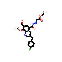 CCOC(=O)CNNC(=O)c1cc(C=O)c(OC)c2ncc(Cc3ccc(F)cc3)cc12